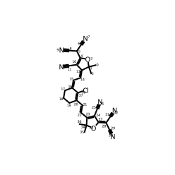 CC1(C)OC(C(C#N)C#N)=C(C#N)C1=CC=C1CCCC(C=CC2=C(C#N)C(=C(C#N)C#N)OC2(C)C)=C1Cl